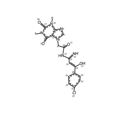 Cn1c(=O)c2c(ncn2CC(=O)NC(=N)/C=C(\O)c2ccc(Cl)cc2)n(C)c1=O